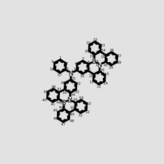 c1ccc(N(c2ccc3c(c2)-c2ccccc2N2B3c3ccccc3-c3ccccc32)c2ccc3c(c2)-c2ccccc2B2c4ccccc4-c4ccccc4N23)cc1